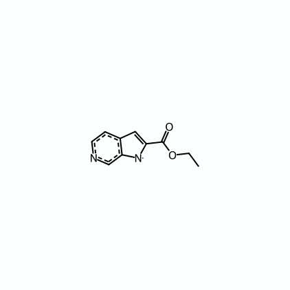 CCOC(=O)C1=Cc2ccncc2[N]1